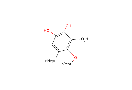 CCCCCCCc1cc(O)c(O)c(C(=O)O)c1OCCCCC